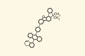 CC1(C)c2ccccc2-c2c1ccc1c2oc2ccc(-c3ccc(-c4c5ccccc5c(-c5cccc6c5C=CCC6)c5ccccc45)cc3)cc21